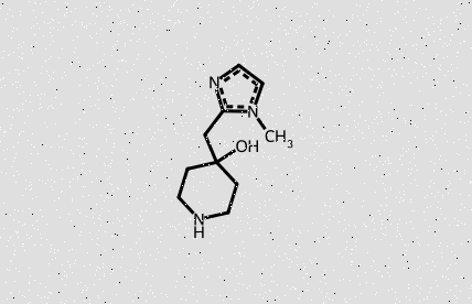 Cn1ccnc1CC1(O)CCNCC1